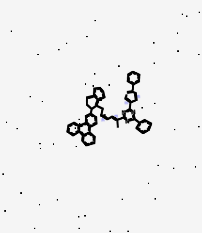 C=C(/C=C\C(=C/C)c1nc(/C(C)=C/C=C\CC2=c3ccccc3=CCC2c2ccc3c4ccccc4c4ccccc4c3c2)nc(-c2ccccc2)n1)c1ccccc1